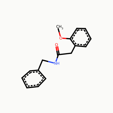 COc1ccccc1CC(=O)NCc1ccccc1